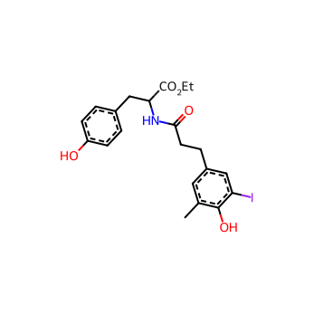 CCOC(=O)C(Cc1ccc(O)cc1)NC(=O)CCc1cc(C)c(O)c(I)c1